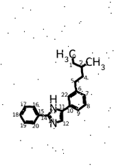 CCC(C)C[CH]c1cccc(-c2cnc(-c3ccccc3)[nH]2)c1